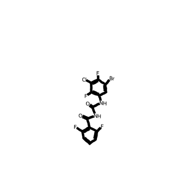 O=C(NC(=O)c1c(F)cccc1F)Nc1cc(Br)c(F)c(Cl)c1F